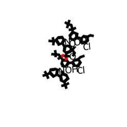 CCc1cc(Cl)cc(C2=CC(C(C)(C)CC(C)(C)C)=CC(n3c4ccc(C(C)(C)C)cc4c4cc(C(C)(C)C)ccc43)C2(O)OCCCOc2c(CC)cc(Cl)cc2-c2cc(C(C)(C)CC(C)(C)C)cc(-n3c4ccc(C(C)(C)C)cc4c4cc(C(C)(C)C)ccc43)c2O)c1